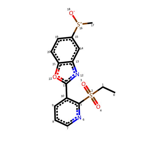 CCS(=O)(=O)c1ncccc1-c1nc2cc([S+](C)[O-])ccc2o1